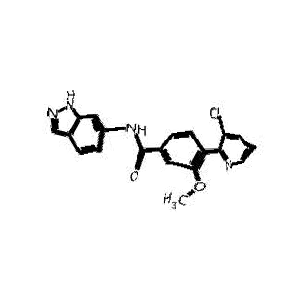 COc1cc(C(=O)Nc2ccc3cn[nH]c3c2)ccc1-c1ncccc1Cl